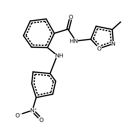 Cc1cc(NC(=O)c2ccccc2Nc2ccc([N+](=O)[O-])cc2)on1